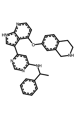 CC(Nc1cc(-c2c[nH]c3nccc(Oc4ccc5c(c4)CNCC5)c23)ncn1)c1ccccc1